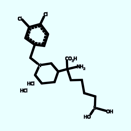 Cl.Cl.NC(CCCCB(O)O)(C(=O)O)C1CCCN(Cc2ccc(Cl)c(Cl)c2)C1